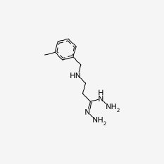 Cc1cccc(CNCC/C(=N/N)NN)c1